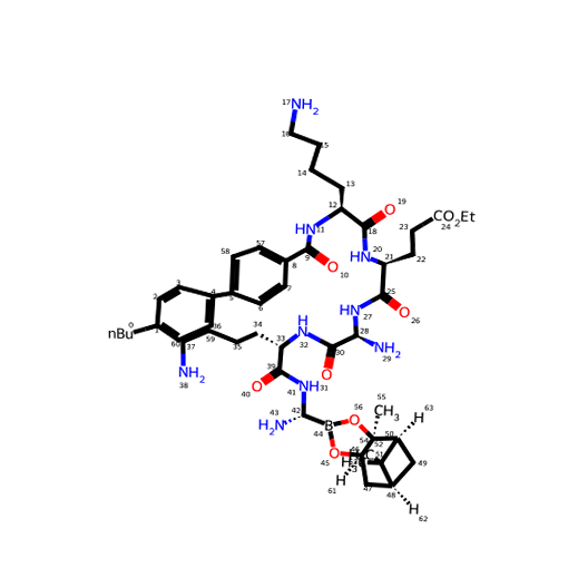 CCCCc1ccc(-c2ccc(C(=O)N[C@@H](CCCCN)C(=O)N[C@@H](CCC(=O)OCC)C(=O)N[C@@H](N)C(=O)N[C@@H](CCCCN)C(=O)N[C@@H](N)B3O[C@@H]4C[C@@H]5C[C@@H](C5(C)C)[C@]4(C)O3)cc2)cc1